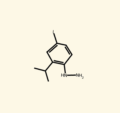 CC(C)c1cc(I)ccc1NN